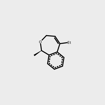 CCC1=CCO[C@H](C)c2ccccc21